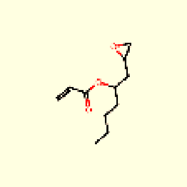 C=CC(=O)OC(CCCC)CC1CO1